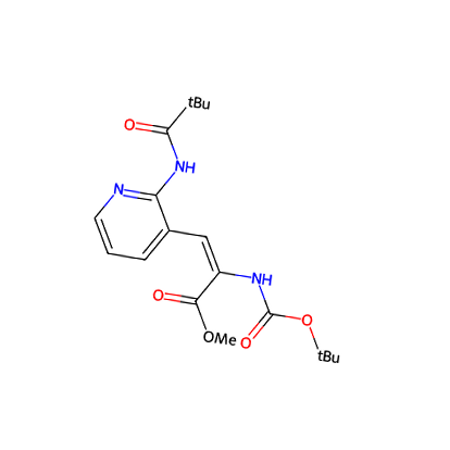 COC(=O)/C(=C\c1cccnc1NC(=O)C(C)(C)C)NC(=O)OC(C)(C)C